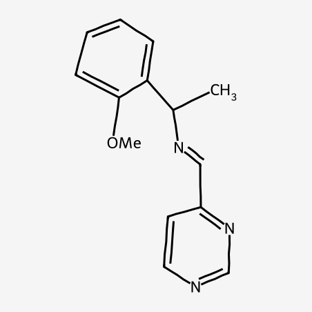 COc1ccccc1C(C)N=Cc1ccncn1